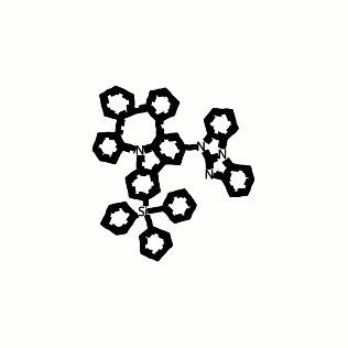 c1ccc([Si](c2ccccc2)(c2ccccc2)c2ccc3c(c2)c2cc(-n4c5ccccc5n5c6ccccc6nc45)cc4c5ccccc5c5ccccc5c5ccccc5n3c42)cc1